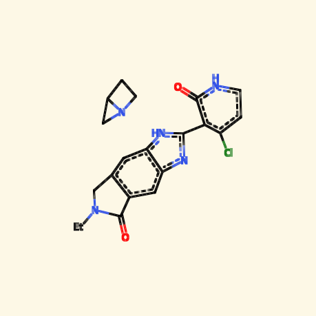 C1CN2CC12.CCN1Cc2cc3[nH]c(-c4c(Cl)cc[nH]c4=O)nc3cc2C1=O